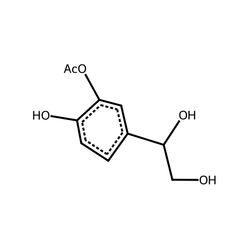 CC(=O)Oc1cc(C(O)CO)ccc1O